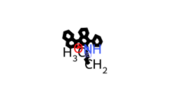 C=C/C=C(\C)Nc1c(-c2ccccc2)c2ccccc2c2c1oc1ccc3ccccc3c12